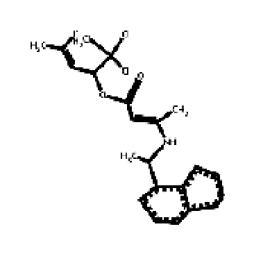 CC(C)=CC(OC(=O)C=C(C)NC(C)c1cccc2ccccc12)C(Cl)(Cl)Cl